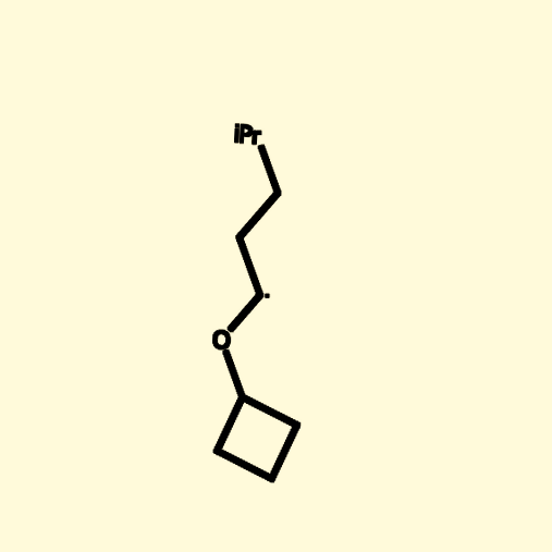 CC(C)CC[CH]OC1CCC1